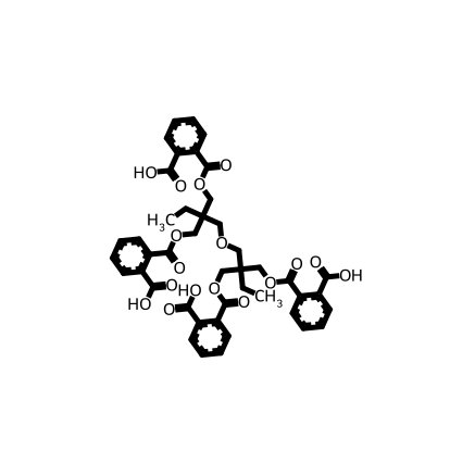 CCC(COCC(CC)(COC(=O)c1ccccc1C(=O)O)COC(=O)c1ccccc1C(=O)O)(COC(=O)c1ccccc1C(=O)O)COC(=O)c1ccccc1C(=O)O